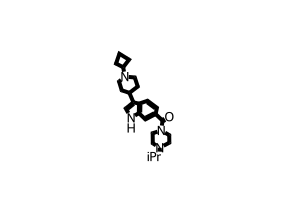 CC(C)N1CCN(C(=O)c2ccc3c(C4CCN(C5CCC5)CC4)c[nH]c3c2)CC1